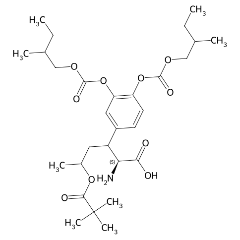 CCC(C)COC(=O)Oc1ccc(C(CC(C)OC(=O)C(C)(C)C)[C@H](N)C(=O)O)cc1OC(=O)OCC(C)CC